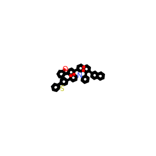 c1ccc(-c2ccccc2N(c2ccc(-c3ccc4c(c3)sc3ccccc34)cc2)c2ccccc2-c2ccc3c(c2)oc2ccccc23)c(-c2ccc3ccccc3c2)c1